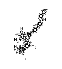 CN1CCN(c2ccc3nc(-c4ccc5nc(-c6ccc(OCc7cn(C[C@H]8O[C@@H](O[C@@H]9C(O)[C@H](N)CC(N)[C@H]9O[C@@H]9OC(CN)[C@@H](O)[C@H](O)C9N)[C@@H](O)C8C[C@H]8O[C@@H](CN)[C@@H](O)C(O)C8N)nn7)cc6)[nH]c5c4)[nH]c3c2)CC1